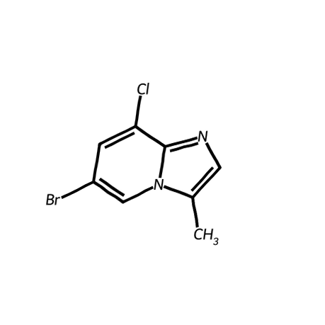 Cc1cnc2c(Cl)cc(Br)cn12